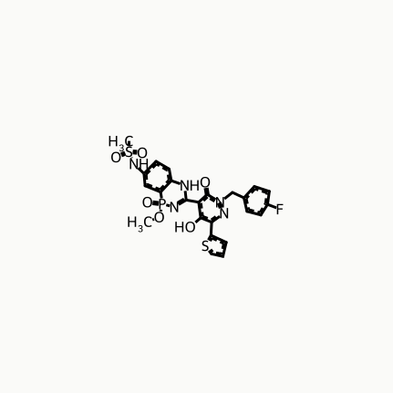 COP1(=O)N=C(c2c(O)c(-c3cccs3)nn(Cc3ccc(F)cc3)c2=O)Nc2ccc(NS(C)(=O)=O)cc21